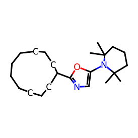 CC1(C)CCCC(C)(C)N1c1cnc(C2CCCCCCCCCC2)o1